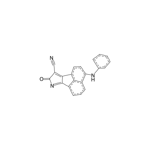 N#CC1=C2C(=NC1=O)c1cccc3c(Nc4ccccc4)ccc2c13